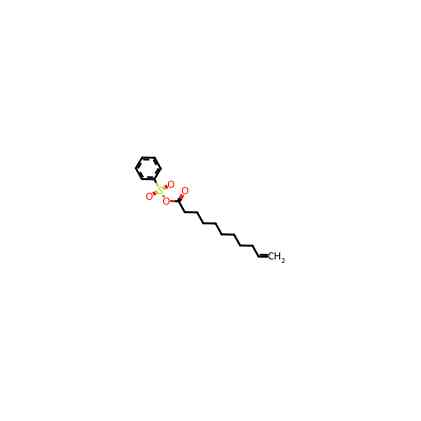 C=CCCCCCCCCC(=O)OS(=O)(=O)c1ccccc1